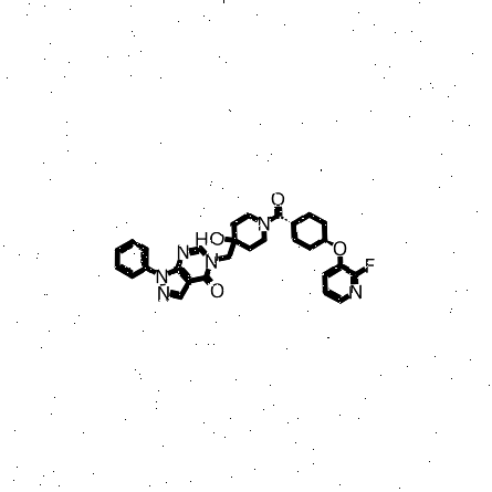 O=c1c2cnn(-c3ccccc3)c2ncn1CC1(O)CCN(C(=O)[C@H]2CC[C@H](Oc3cccnc3F)CC2)CC1